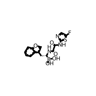 O=C(Nc1ncc(F)s1)C(=O)N[C@@H](Cc1coc2ccccc12)B(O)O